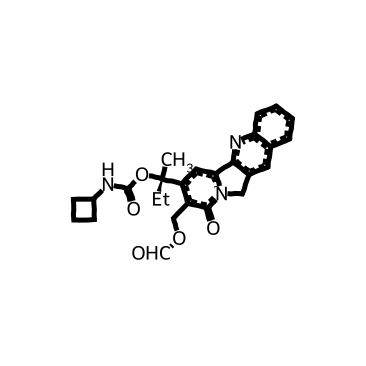 CC[C@](C)(OC(=O)NC1CCC1)c1cc2n(c(=O)c1COC=O)Cc1cc3ccccc3nc1-2